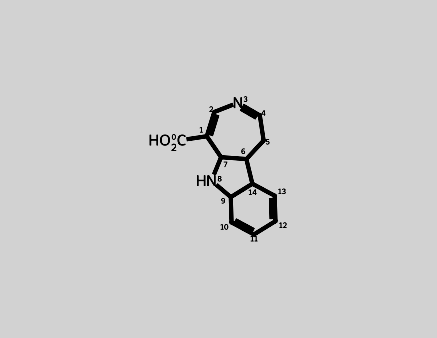 O=C(O)C1=CN=CCC2C1NC1C=CC=CC12